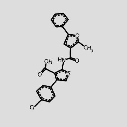 Cc1oc(-c2ccccc2)cc1C(=O)Nc1scc(-c2ccc(Cl)cc2)c1C(=O)O